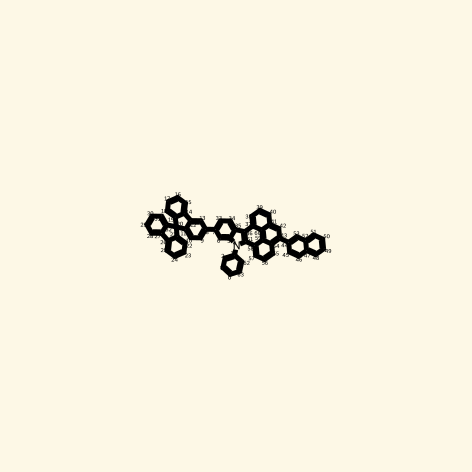 c1ccc(-n2c3cc(-c4ccc5c(c4)-c4ccccc4C54c5ccccc5-c5ccccc54)ccc3c3c4cccc5cc(-c6ccc7ccccc7c6)c6cccc(c6c54)c32)cc1